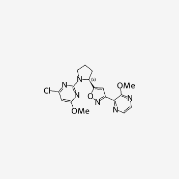 COc1cc(Cl)nc(N2CCC[C@H]2c2cc(-c3nccnc3OC)no2)n1